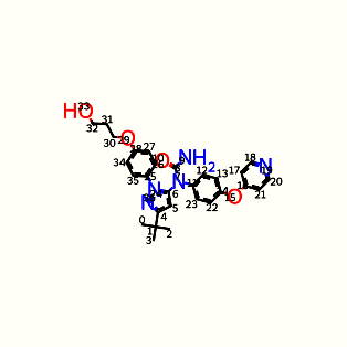 CC(C)(C)c1cc(N(C(N)=O)c2ccc(Oc3ccncc3)cc2)n(-c2ccc(OCCCO)cc2)n1